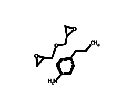 C(OCC1CO1)C1CO1.CCCc1ccc(N)cc1